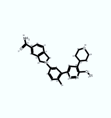 CCOc1nnc(-c2cc(N3Cc4ccc(C(N)=O)cc4C3)ccc2C)cc1C1CCOCC1